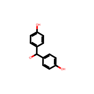 [O]C(c1ccc(O)cc1)c1ccc(O)cc1